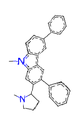 CN1CCCC1c1cc2c(cc1-c1ccccc1)c1cc(-c3ccccc3)ccc1n2C